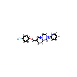 Fc1ccc(OC[C@@H]2CCC3CN(c4ccccn4)CCN3C2)cc1